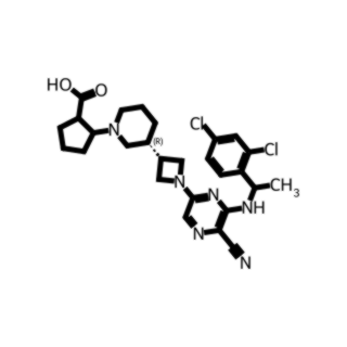 CC(Nc1nc(N2CC([C@H]3CCCN(C4CCCC4C(=O)O)C3)C2)cnc1C#N)c1ccc(Cl)cc1Cl